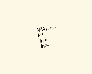 [As-3].[In+3].[In+3].[In+3].[N-3].[P-3]